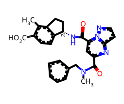 Cc1c(C(=O)O)ccc2c1CC[C@@H]2NC(=O)c1cc(C(=O)N(C)Cc2ccccc2)nc2ccnn12